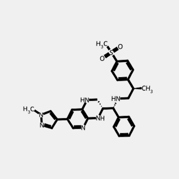 C[C@@H](CN[C@H](c1ccccc1)[C@H]1CNc2cc(-c3cnn(C)c3)cnc2N1)c1ccc(S(C)(=O)=O)cc1